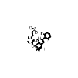 CC[C@@H](O[C@@]12CC[C@@H](c3cc(-c4c(F)cccc4F)nnc31)C2(C)C)C(=O)NCCS(C)(=O)=O